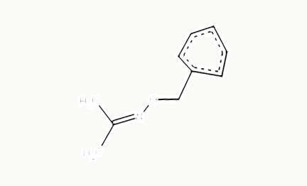 [CH2]C(C)=NOCc1ccccc1